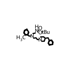 Cc1ccccc1CN(CCCN1CCC(Cc2ccccc2)CC1)CCNC(=O)OC(C)(C)C